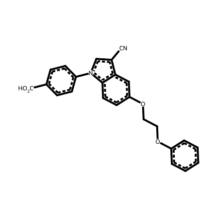 N#Cc1cn(-c2ccc(C(=O)O)cc2)c2ccc(OCCOc3ccccc3)cc12